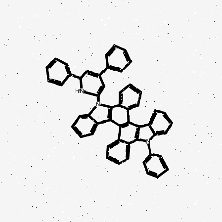 C1=C(c2ccccc2)C=C(n2c3ccccc3c3c4c5ccccc5c5c(c6ccccc6n5-c5ccccc5)c4c4ccccc4c32)NC1c1ccccc1